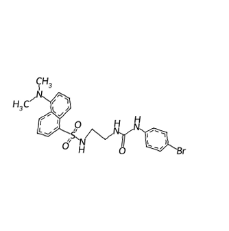 CN(C)c1cccc2c(S(=O)(=O)NCCNC(=O)Nc3ccc(Br)cc3)cccc12